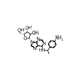 CC(Nc1ncnc2c1ncn2[C@@H]1O[C@H](CO)[C@H](O)C1O)c1ccc(N)cc1